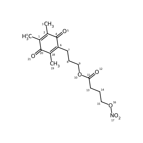 CC1=C(C)C(=O)C(CCCOC(=O)CCCO[N+](=O)[O-])=C(C)C1=O